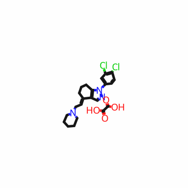 Clc1ccc(-n2ncc3c2CCCC3=CCN2CCCCC2)cc1Cl.O=C(O)C(=O)O